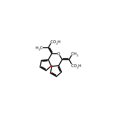 CC(C(=O)O)=C(OC(C1=CC=CC1)=C(C)C(=O)O)C1=CC=CC1